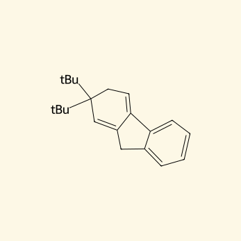 CC(C)(C)C1(C(C)(C)C)C=C2Cc3ccccc3C2=CC1